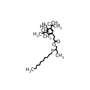 CCCCCCCCCCSC(CC)COC(=O)CCc1cc(C(C)(C)C)c(O)c(C(C)(C)C)c1